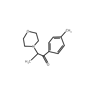 Cc1ccc(C(=O)C(C)N2CCOCC2)cc1